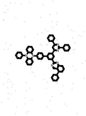 c1ccc(-c2cc(-c3cc(-c4ccc(N5c6ccccc6N(c6ccccc6)c6ccccc65)cc4)cc(-c4ncc5c(-c6ccccc6)cccc5n4)c3)nc(-c3ccccc3)n2)cc1